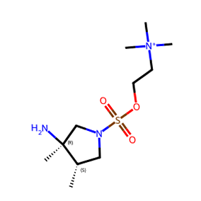 C[C@H]1CN(S(=O)(=O)OCC[N+](C)(C)C)C[C@]1(C)N